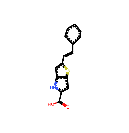 O=C(O)c1cc2sc(C=Cc3ccccc3)cc2[nH]1